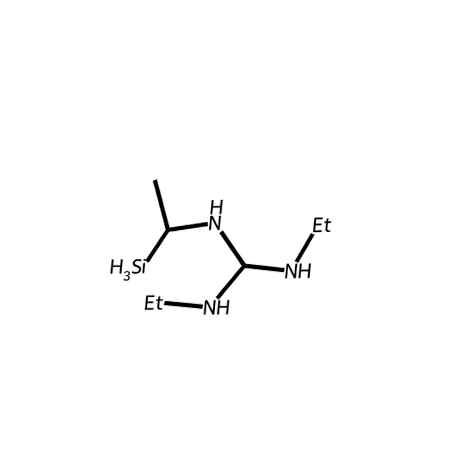 CCNC(NCC)NC(C)[SiH3]